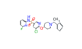 C[C@H](c1ccccc1)N1CCC(Oc2ncc(S(=O)(=O)Nc3cccc(F)n3)cc2Cl)CC1